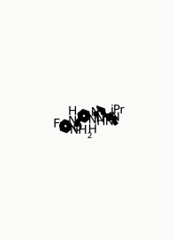 Cc1nc(C(C)C)c(-c2ccnc(Nc3cccc(C(=O)Nc4cc(F)ccc4N)c3)n2)[nH]1